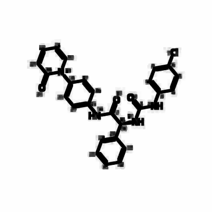 O=C(Nc1ccc(Cl)cc1)N[C@H](C(=O)Nc1ccc(-n2ccccc2=O)cc1)c1ccccc1